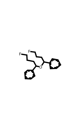 FCCCC(OC(CCCF)c1ccccc1)c1ccccc1